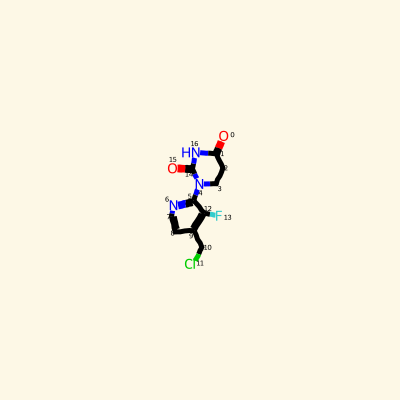 O=C1CCN(c2nccc(CCl)c2F)C(=O)N1